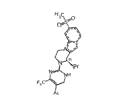 CC(=O)C1=C(C(F)(F)F)N=C(N2CCn3c(cc4ccc(S(C)(=O)=O)cc43)[C@H]2C(C)C)NC1